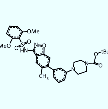 COc1cccc(OC)c1S(=O)(=O)Nc1noc2cc(-c3cccc(N4CCN(C(=O)OC(C)(C)C)CC4)c3)c(C)cc12